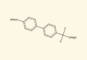 CCCCCCCC(F)(F)c1ccc(-c2ccc(CCCCC)cc2)cc1